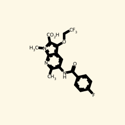 Cc1nc2c(cc1NC(=O)c1ccc(F)cc1)c(OCC(F)(F)F)c(C(=O)O)n2C